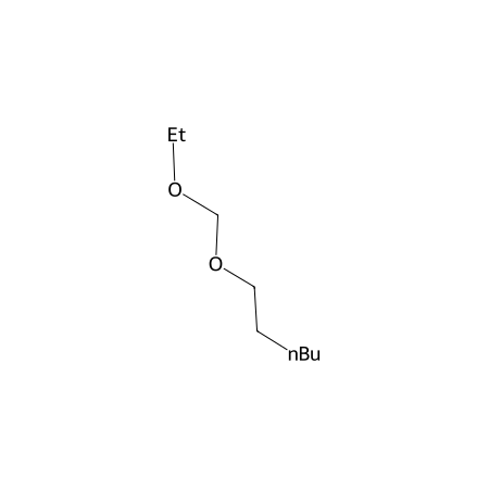 CCCCCCOCOCC